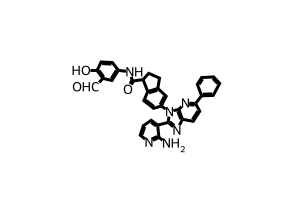 Nc1ncccc1-c1nc2ccc(-c3ccccc3)nc2n1-c1ccc2c(c1)CCC2C(=O)Nc1ccc(O)c(C=O)c1